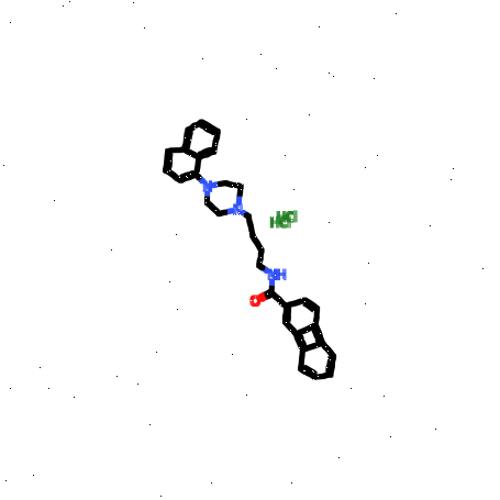 Cl.Cl.O=C(NCCCCN1CCN(c2cccc3ccccc23)CC1)c1ccc2c(c1)=c1ccccc1=2